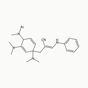 CC(=O)N(C)C1C=CC(C/C(C#N)=C/Nc2ccccc2)(N(C)C)C=C1N(C)C